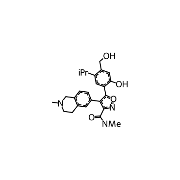 CNC(=O)c1noc(-c2cc(C(C)C)c(CO)cc2O)c1-c1ccc2c(c1)CCN(C)C2